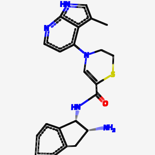 Cc1c[nH]c2nccc(N3C=C(C(=O)N[C@H]4c5ccccc5C[C@H]4N)SCC3)c12